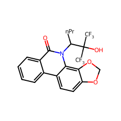 CCCC(n1c(=O)c2ccccc2c2ccc3c(c21)OCO3)C(O)(C(F)(F)F)C(F)(F)F